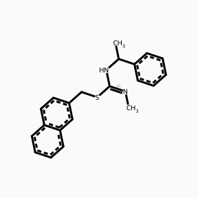 C/N=C(/NC(C)c1ccccc1)SCc1ccc2ccccc2c1